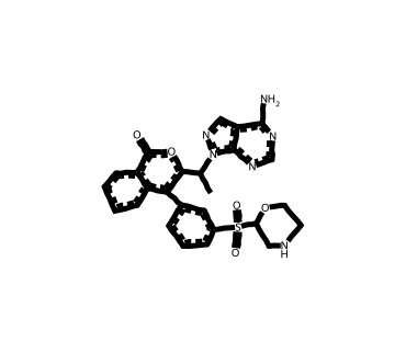 CC(c1oc(=O)c2ccccc2c1-c1cccc(S(=O)(=O)C2CNCCO2)c1)n1ncc2c(N)ncnc21